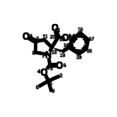 CC(C)(C)OC(=O)N1CC(=O)C[C@@]1(Cc1ccccc1)C(=O)O